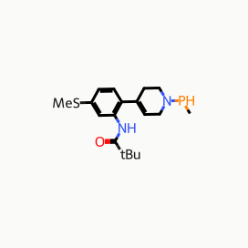 CPN1CC=C(c2ccc(SC)cc2NC(=O)C(C)(C)C)CC1